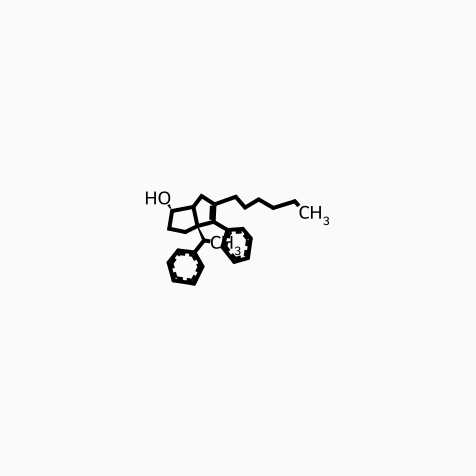 CCCCCCC1=C(c2ccccc2)[C@]2(C(C)c3ccccc3)CC[C@H](O)C2C1